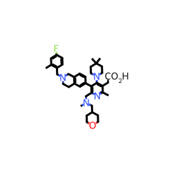 Cc1cc(F)ccc1CN1CCc2cc(-c3c(CN(C)CC4CCOCC4)nc(C)c(CC(=O)O)c3N3CCC(C)(C)CC3)ccc2C1